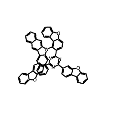 c1ccc2cc3c(cc2c1)c1cc2ccccc2cc1n3-c1c(-c2nc(-c3ccc4c(c3)oc3ccccc34)nc(-c3ccc4c(c3)oc3ccccc34)n2)ccc2oc3ccccc3c12